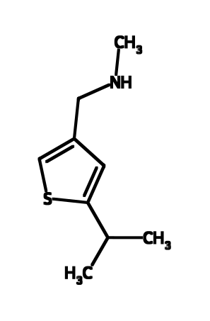 CNCc1csc(C(C)C)c1